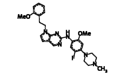 COc1ccccc1CCn1ccc2cnc(Nc3cc(F)c(N4CCN(C)CC4)cc3OC)nc21